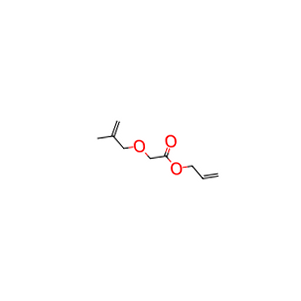 C=CCOC(=O)COCC(=C)C